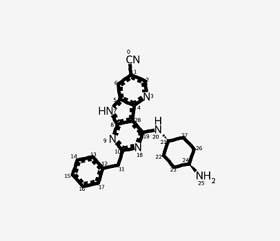 N#Cc1cnc2c(c1)[nH]c1nc(Cc3ccccc3)nc(N[C@H]3CC[C@H](N)CC3)c12